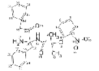 CC(C)(Oc1ccccc1[N+](=O)[O-])C(=O)NC(N)(Cc1ccccc1)C(=O)Cc1ccccc1